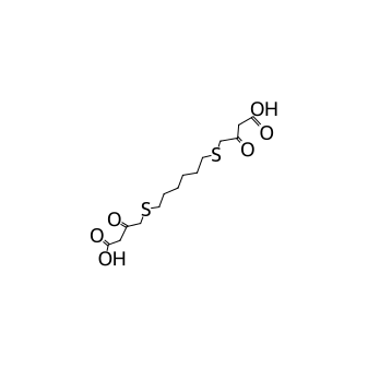 O=C(O)CC(=O)CSCCCCCCSCC(=O)CC(=O)O